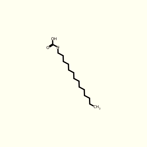 CCCCCCCCCCCCCC[N]C(=O)O